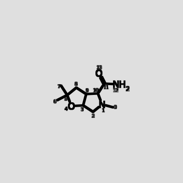 CN1CC2OC(C)(C)CC2C1C(N)=O